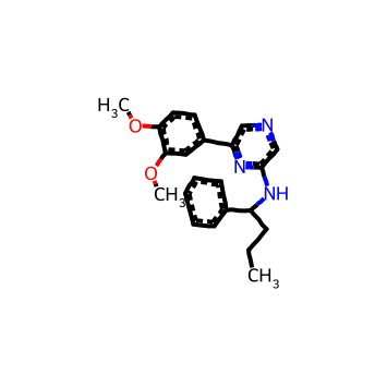 CCCC(Nc1cncc(-c2ccc(OC)c(OC)c2)n1)c1ccccc1